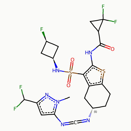 Cn1nc(C(F)F)cc1N=C=N[C@H]1CCc2sc(NC(=O)C3CC3(F)F)c(S(=O)(=O)N[C@H]3C[C@@H](F)C3)c2C1